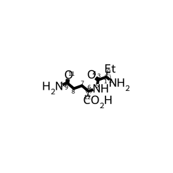 CC[C@H](N)C(=O)N[C@@H](CCC(N)=O)C(=O)O